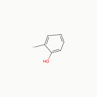 [CH]c1ccccc1O